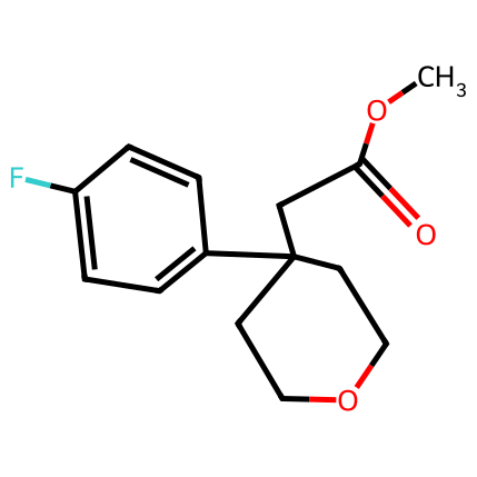 COC(=O)CC1(c2ccc(F)cc2)CCOCC1